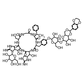 CC(c1ccccc1)C1NC(=O)CNC(=O)C(CO)NC(=O)C(C(O)C2CNC(=N)N2C2OC(CO)C(O)C(O)C2O)NC(=O)C(C(O)C2CNC(=N)N2)NC(=O)C(Cc2ccc(OC3OC(CO)C(OC4OC5COC(c6ccc7c(c6)OCCO7)OC5C(O)C4O)C(O)C3O)cc2)NC1=O